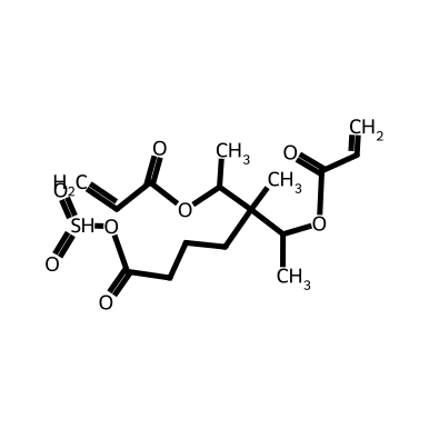 C=CC(=O)OC(C)C(C)(CCCC(=O)O[SH](=O)=O)C(C)OC(=O)C=C